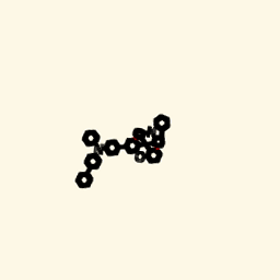 c1ccc(-c2ccc(N(c3ccccc3)c3ccc(-c4ccc5c(c4)Oc4ccccc4C54c5ccccc5-n5c6ccccc6c6cccc4c65)cc3)cc2)cc1